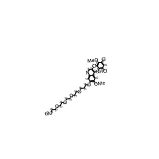 COc1cc(Nc2c(C#N)cnc3cc(OCCCOCCOCCOCCOCCC(C)(C)C)c(OC)cc23)c(Cl)cc1Cl